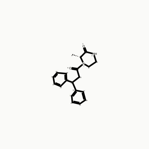 C[C@@H]1C(=O)NCCN1C(=O)CC(c1ccccc1)c1ccccc1